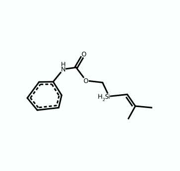 CC(C)=C[SiH2]COC(=O)Nc1ccccc1